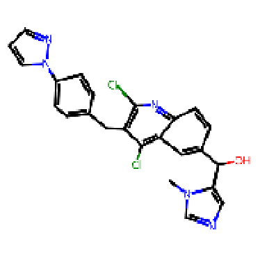 Cn1cncc1C(O)c1ccc2nc(Cl)c(Cc3ccc(-n4cccn4)cc3)c(Cl)c2c1